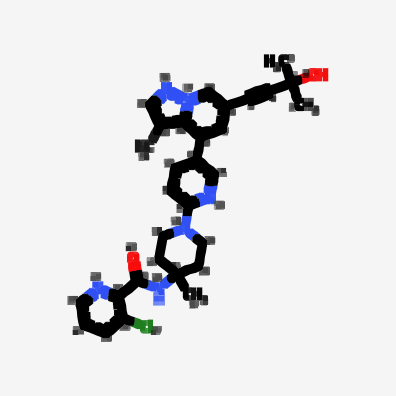 CC(C)(O)C#Cc1cc(-c2ccc(N3CCC(C)(NC(=O)c4ncccc4Cl)CC3)nc2)c2c(C#N)cnn2c1